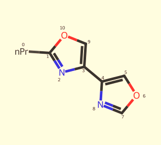 CCCc1nc(-c2cocn2)co1